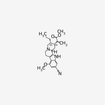 C=C(C(=O)OC)[C@H]1C[C@H]2c3[nH]c4cc(C#N)cc(OC)c4c3CCN2C[C@H]1CCC